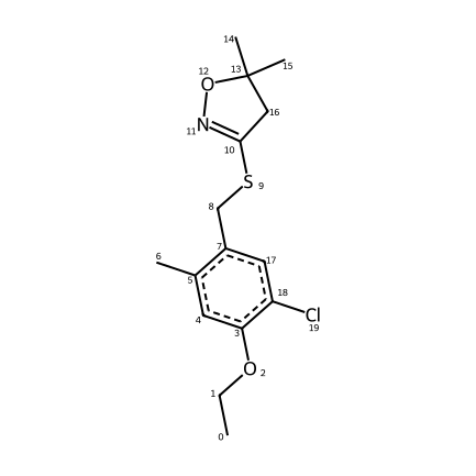 CCOc1cc(C)c(CSC2=NOC(C)(C)C2)cc1Cl